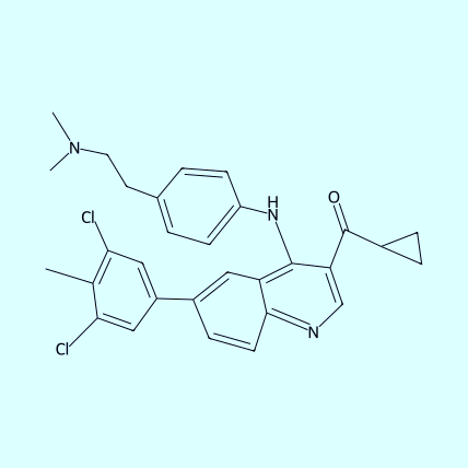 Cc1c(Cl)cc(-c2ccc3ncc(C(=O)C4CC4)c(Nc4ccc(CCN(C)C)cc4)c3c2)cc1Cl